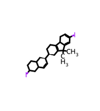 CC1(C)C2=CC(I)=CCC2C2=C1C[C@@H]([C@H]1C=CC3CC(I)CCC3C1)CC2